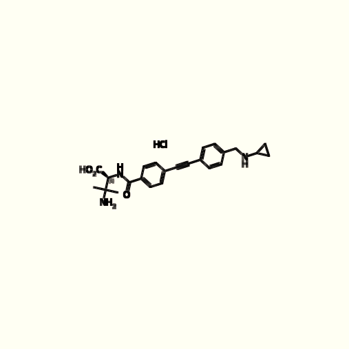 CC(C)(N)[C@H](NC(=O)c1ccc(C#Cc2ccc(CNC3CC3)cc2)cc1)C(=O)O.Cl